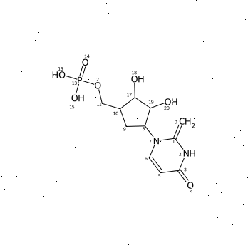 C=C1NC(=O)C=CN1C1CC(COP(=O)(O)O)C(O)C1O